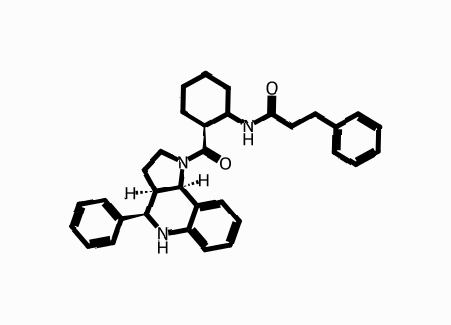 O=C(CCc1ccccc1)NC1CCCC[C@@H]1C(=O)N1CC[C@@H]2[C@H](c3ccccc3)Nc3ccccc3[C@@H]21